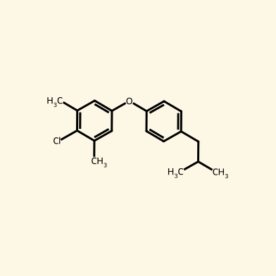 Cc1cc(Oc2ccc(CC(C)C)cc2)cc(C)c1Cl